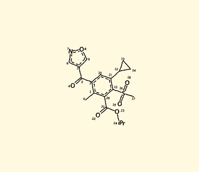 Cc1c(C(=O)c2cnoc2)cc(C2CC2)c(S(C)(=O)=O)c1C(=O)OC(C)C